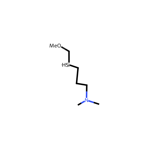 COC[SiH]CCCN(C)C